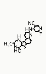 C[C@@H]1CNc2c(sc3ccc4nc(Nc5cc(F)ncc5C#N)ccc4c23)C(=O)N1